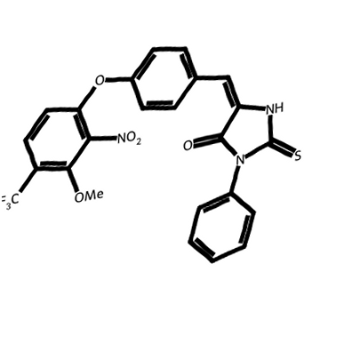 COc1c(C(F)(F)F)ccc(Oc2ccc(C=C3NC(=S)N(c4ccccc4)C3=O)cc2)c1[N+](=O)[O-]